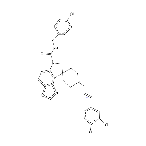 O=C(NCc1ccc(O)cc1)N1CC2(CCN(C/C=C/c3ccc(Cl)c(Cl)c3)CC2)c2c1ccc1scnc21